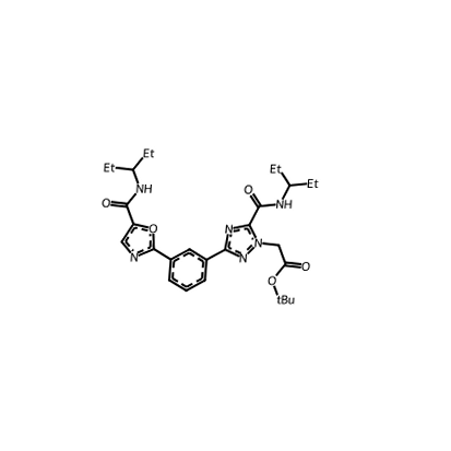 CCC(CC)NC(=O)c1cnc(-c2cccc(-c3nc(C(=O)NC(CC)CC)n(CC(=O)OC(C)(C)C)n3)c2)o1